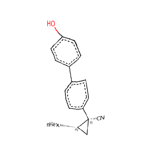 CCCCCC[C@H]1C[C@]1(C#N)c1ccc(-c2ccc(O)cc2)cc1